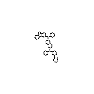 c1ccc(N(c2ccc3cc(N(c4ccccc4)c4ccc5oc6ccccc6c5c4)ccc3c2)c2ccc3oc4ccccc4c3c2)cc1